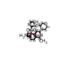 CC(/N=C(\C=C(/N)C1(S(=O)(=O)c2nccs2)CCC1)N1CCOC[C@@H]1C)c1ccc(N)cc1